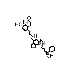 CN(CCCn1nnc2cc(CNCCc3ccc(O)c4[nH]c(=O)ccc34)c3c(c21)CCC3)C1CCCCC1